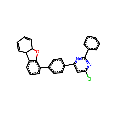 Clc1cc(-c2ccc(-c3cccc4c3OC3C=CC=CC43)cc2)nc(-c2ccccc2)n1